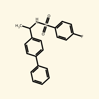 CC(NS(=O)(=O)c1ccc(F)cc1)c1ccc(-c2ccccc2)cc1